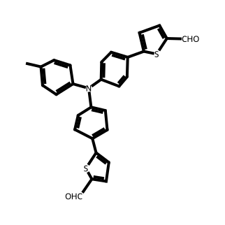 Cc1ccc(N(c2ccc(-c3ccc(C=O)s3)cc2)c2ccc(-c3ccc(C=O)s3)cc2)cc1